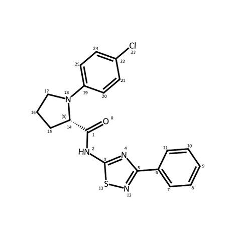 O=C(Nc1nc(-c2ccccc2)ns1)[C@@H]1CCCN1c1ccc(Cl)cc1